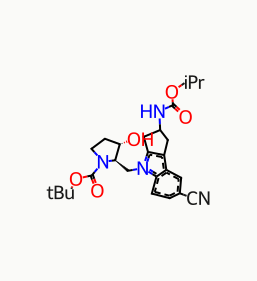 CC(C)OC(=O)NC1Cc2c(n(C[C@@H]3[C@@H](O)CCN3C(=O)OC(C)(C)C)c3ccc(C#N)cc23)C1